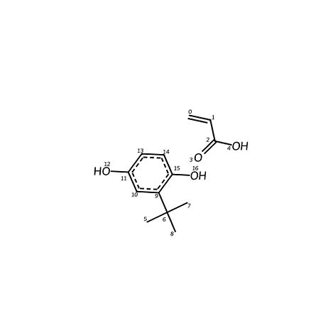 C=CC(=O)O.CC(C)(C)c1cc(O)ccc1O